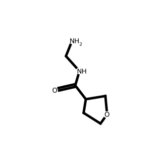 NCNC(=O)C1CCOC1